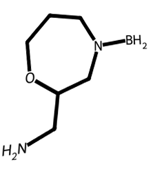 BN1CCCOC(CN)C1